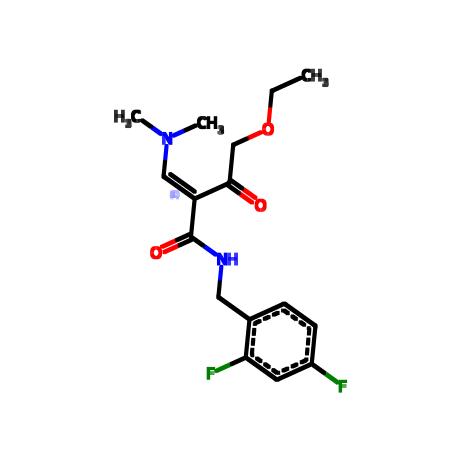 CCOCC(=O)/C(=C\N(C)C)C(=O)NCc1ccc(F)cc1F